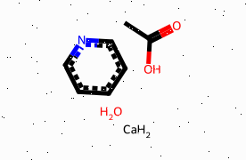 CC(=O)O.O.[CaH2].c1ccncc1